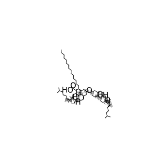 CCCCCCCCCCCCCCCC(CC(=O)O)C1C[C@@H](O[C@H]2CC[C@@]3(C)C(=CC[C@H]4[C@@H]5CC[C@H]([C@H](C)CCCC(C)C)[C@@]5(C)CC[C@@H]43)C2)CC2=CC[C@H]3[C@@H]4CC[C@H]([C@H](C)CCCC(C)C)[C@@]4(C)CC[C@@H]3[C@]21C